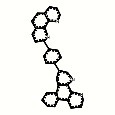 c1cnc2c(c1)ccc1ccc(-c3ccc(-c4cnc5c(c4)c4ccccc4c4cccnc45)cc3)nc12